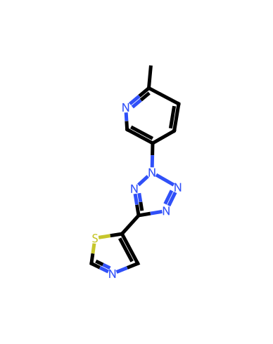 Cc1ccc(-n2nnc(-c3cncs3)n2)cn1